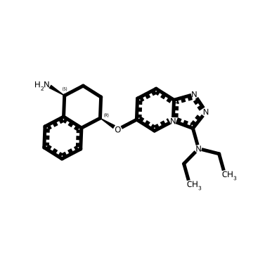 CCN(CC)c1nnc2ccc(O[C@@H]3CC[C@H](N)c4ccccc43)cn12